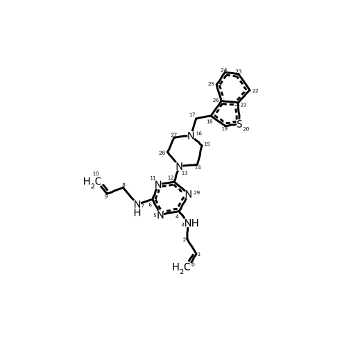 C=CCNc1nc(NCC=C)nc(N2CCN(Cc3csc4ccccc34)CC2)n1